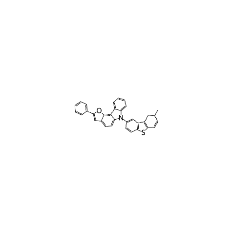 CC1C=Cc2sc3ccc(-n4c5ccccc5c5c6oc(-c7ccccc7)cc6ccc54)cc3c2C1